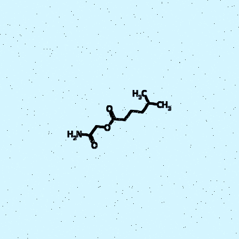 CC(C)CCCC(=O)OCC(N)=O